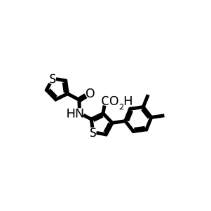 Cc1ccc(-c2csc(NC(=O)c3ccsc3)c2C(=O)O)cc1C